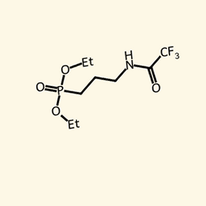 CCOP(=O)(CCCNC(=O)C(F)(F)F)OCC